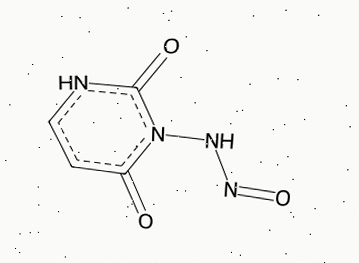 O=NNn1c(=O)cc[nH]c1=O